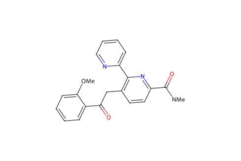 CNC(=O)c1ccc(CC(=O)c2ccccc2OC)c(-c2ccccn2)n1